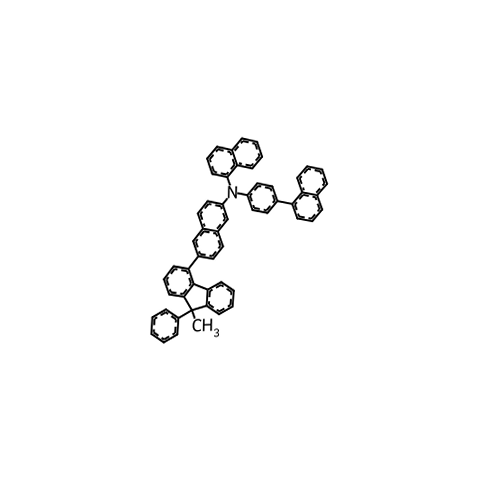 CC1(c2ccccc2)c2ccccc2-c2c(-c3ccc4cc(N(c5ccc(-c6cccc7ccccc67)cc5)c5cccc6ccccc56)ccc4c3)cccc21